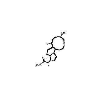 COC(=O)[C@@H](C)[C@H]1CCC2C3CCCC[C@H](O)CC[C@H](C)C3=CC[C@@]21C